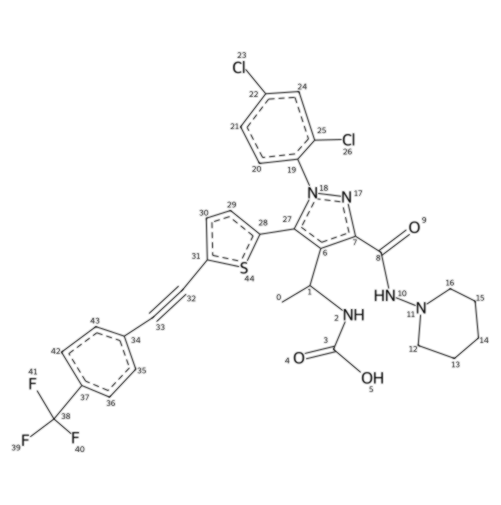 CC(NC(=O)O)c1c(C(=O)NN2CCCCC2)nn(-c2ccc(Cl)cc2Cl)c1-c1ccc(C#Cc2ccc(C(F)(F)F)cc2)s1